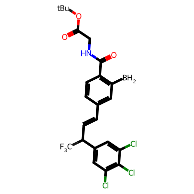 Bc1cc(/C=C/C(c2cc(Cl)c(Cl)c(Cl)c2)C(F)(F)F)ccc1C(=O)NCC(=O)OC(C)(C)C